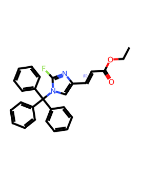 CCOC(=O)/C=C/c1cn(C(c2ccccc2)(c2ccccc2)c2ccccc2)c(F)n1